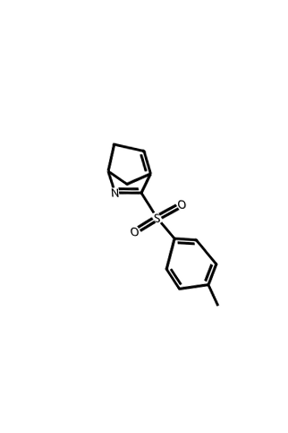 Cc1ccc(S(=O)(=O)C2=NC3CC=C2C3)cc1